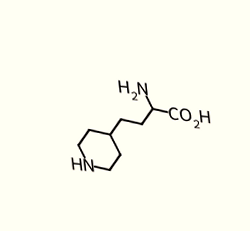 NC(CCC1CCNCC1)C(=O)O